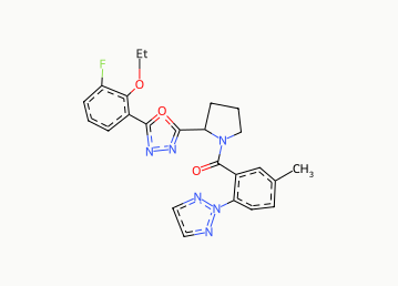 CCOc1c(F)cccc1-c1nnc(C2CCCN2C(=O)c2cc(C)ccc2-n2nccn2)o1